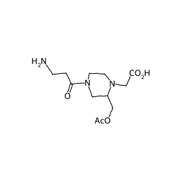 CC(=O)OCC1CN(C(=O)CCN)CCN1CC(=O)O